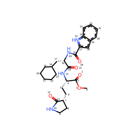 COC(=O)[C@H](CC[C@@H]1CCNC1=O)NC(=O)[C@H](CC1CCCCC1)NC(=O)c1cc2ccccc2[nH]1